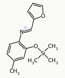 Cc1ccc(/N=C/c2ccco2)c(O[Si](C)(C)C)c1